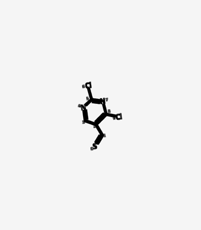 S=Cc1cnc(Cl)nc1Cl